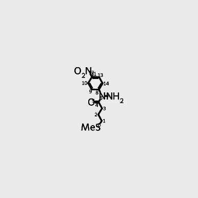 CSCCCC(=O)N(N)c1ccc([N+](=O)[O-])cc1